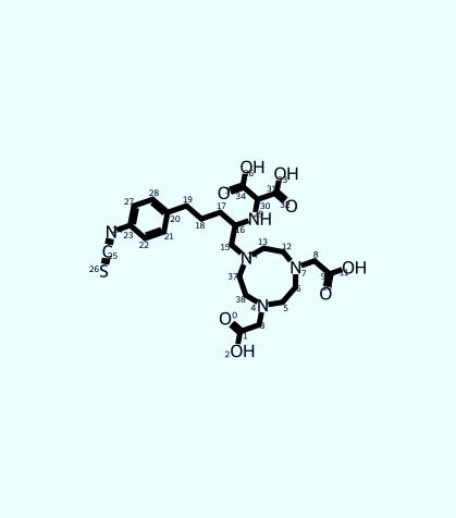 O=C(O)CN1CCN(CC(=O)O)CCN(CC(CCCc2ccc(N=C=S)cc2)NC(C(=O)O)C(=O)O)CC1